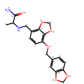 CC(NCc1ccc(OCc2ccc3c(c2)OCO3)c2c1OCO2)C(N)=O